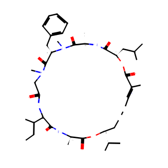 CCC(C)C1NC(=O)CN(C)C(=O)[C@@H](Cc2ccccc2)N(C)C(=O)[C@H](C)NC(=O)[C@@H](CC(C)C)OC(=O)/C(C)=C/CCC[C@H](C(C)C)OC(=O)[C@@H](C)NC1=O